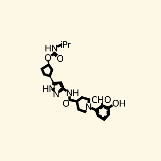 CC(C)NC(=O)O[C@@H]1CC[C@H](c2cc(NC(=O)C3CCN(c4cccc(O)c4C=O)CC3)n[nH]2)C1